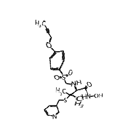 CC#CCOc1ccc(S(=O)(=O)CNC(C(=O)NO)C(C)(C)SCc2cccnc2)cc1